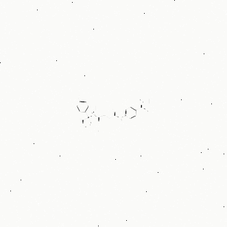 CCC(NC(=O)CCC(=O)Nc1ccc(C(=N)N)cc1)(C(=O)O)c1ccc(O)cc1